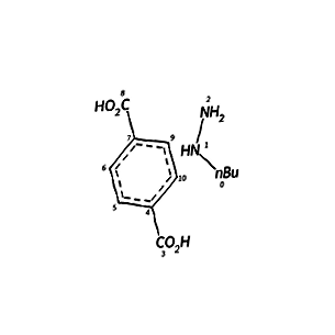 CCCCNN.O=C(O)c1ccc(C(=O)O)cc1